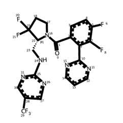 O=C(c1ccc(F)c(F)c1-c1ncccn1)N1CCC(F)(F)[C@H]1CNc1ncc(C(F)(F)F)cn1